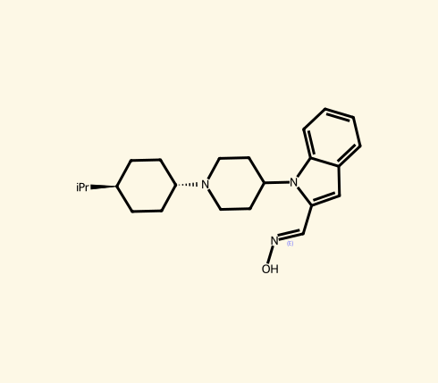 CC(C)[C@H]1CC[C@H](N2CCC(n3c(/C=N/O)cc4ccccc43)CC2)CC1